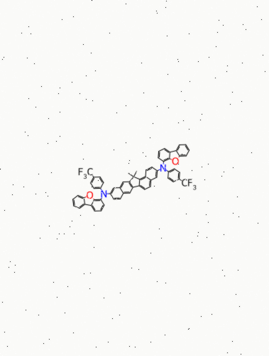 CC1(C)c2cc3cc(N(c4ccc(C(F)(F)F)cc4)c4cccc5c4oc4ccccc45)ccc3cc2-c2ccc3cc(N(c4ccc(C(F)(F)F)cc4)c4cccc5c4oc4ccccc45)ccc3c21